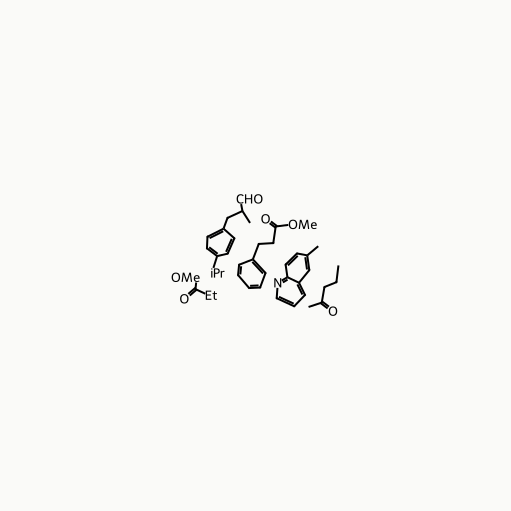 CC(C=O)Cc1ccc(C(C)C)cc1.CCC(=O)OC.CCCC(C)=O.COC(=O)CCc1ccccc1.Cc1ccc2ncccc2c1